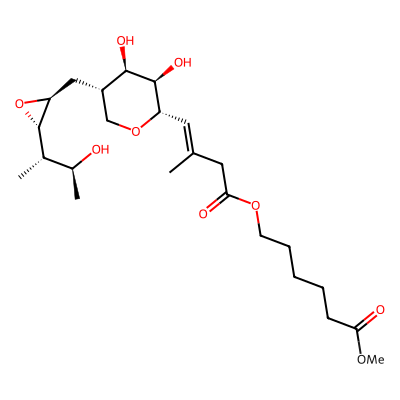 COC(=O)CCCCCOC(=O)C/C(C)=C/[C@@H]1OC[C@H](C[C@@H]2O[C@H]2[C@@H](C)[C@H](C)O)[C@@H](O)[C@H]1O